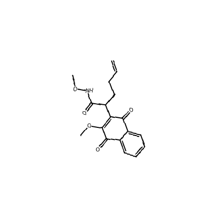 C=CCCC(C(=O)NOC)C1=C(OC)C(=O)c2ccccc2C1=O